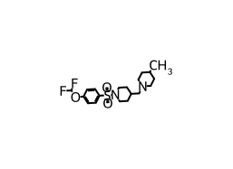 CC1CCN(CC2CCN(S(=O)(=O)c3ccc(OC(F)F)cc3)CC2)CC1